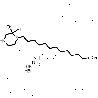 Br.Br.CCCCCCCCCCCCCCCCCCCCCCN1CCNCC1(CC)CC.N.N